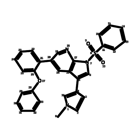 Cn1ccc(-c2cn(S(=O)(=O)c3ccccc3)c3ncc(-c4ccccc4Oc4ccccc4)cc23)c1